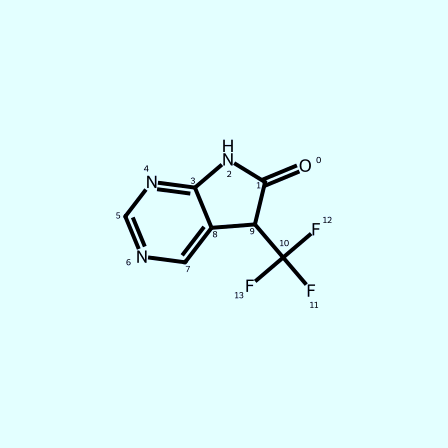 O=C1Nc2ncncc2C1C(F)(F)F